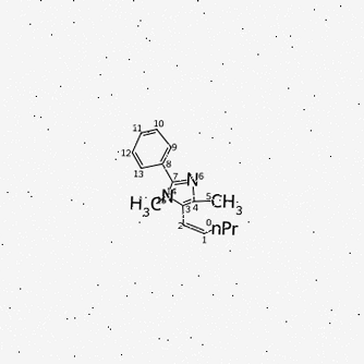 CCC/C=C\c1c(C)nc(-c2ccccc2)n1C